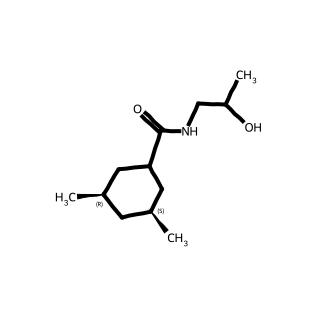 CC(O)CNC(=O)C1C[C@@H](C)C[C@@H](C)C1